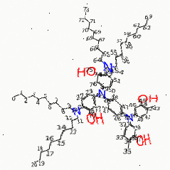 CCCCCCCCCCN(CCCCCCCCCC)c1ccc(N(c2ccc(N(c3ccc(C)c(O)c3)c3ccc(C)c(O)c3)cc2)c2ccc(N(CCCCCCCCCC)CCCCCCCCCC)c(O)c2)cc1O